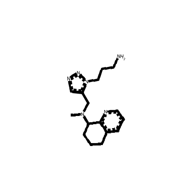 CN(Cc1cnnn1CCCN)C1CCCc2cccnc21